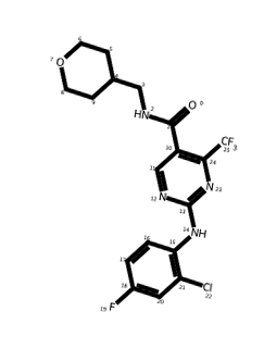 O=C(NCC1CCOCC1)c1cnc(Nc2ccc(F)cc2Cl)nc1C(F)(F)F